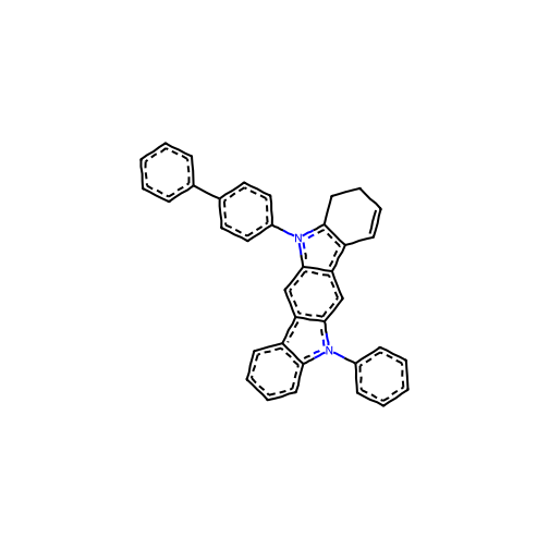 C1=Cc2c(n(-c3ccc(-c4ccccc4)cc3)c3cc4c5ccccc5n(-c5ccccc5)c4cc23)CC1